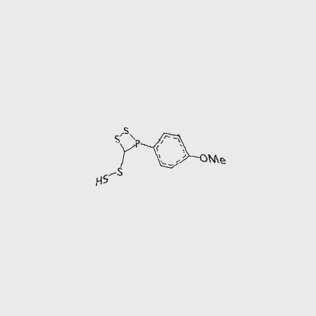 COc1ccc(P2SSC2SS)cc1